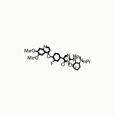 CCCN(CCC)C1CCCCC1Nc1ncc(-c2ccc(Oc3ccnc4cc(OC)c(OC)cc34)c(F)c2)c(=O)n1C